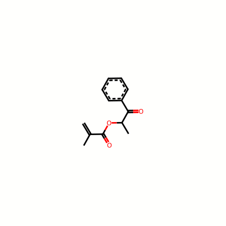 C=C(C)C(=O)OC(C)C(=O)c1ccccc1